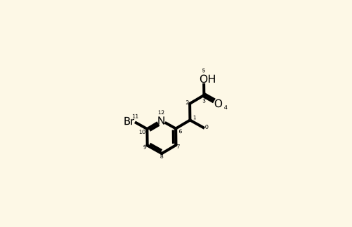 CC(CC(=O)O)c1cccc(Br)n1